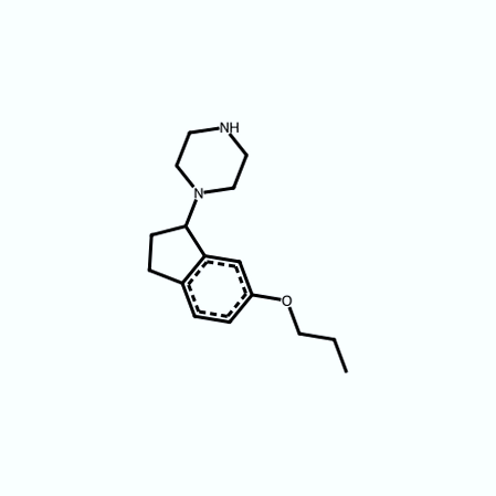 CCCOc1ccc2c(c1)C(N1CCNCC1)CC2